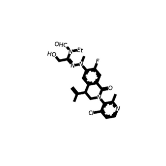 C=C(C)C1CN(c2c(Cl)ccnc2C)C(=O)c2cc(F)c(N(C)/N=C(/CO)N(C=O)CC)cc21